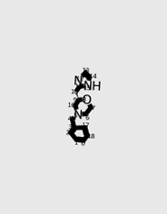 c1ccc(CN2CCO[C@@H](Cc3ncc[nH]3)C2)cc1